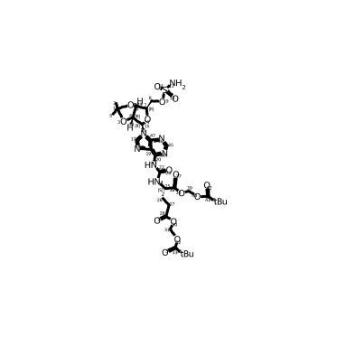 CC1(C)O[C@@H]2[C@H](O1)[C@@H](COS(N)(=O)=O)O[C@H]2n1cnc2c(NC(=O)N[C@@H](CCC(=O)OCOC(=O)C(C)(C)C)C(=O)OCOC(=O)C(C)(C)C)ncnc21